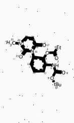 CCC(=O)Oc1c(NC(=O)OC(C)(C)C)cccc1-n1c(=O)ccn(C)c1=O